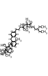 CCN(CC)CCNC(=O)C(C)(C)NC(=O)CCCc1ccc(Cc2cc([C@]34OC[C@](C(C)(C)O)(O3)[C@@H](O)[C@H](O)[C@H]4O)ccc2C)cc1